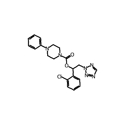 O=C(OC(Cn1ncnn1)c1ccccc1Cl)N1CCN(c2ccccc2)CC1